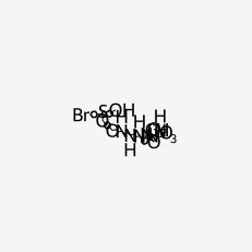 Cc1nc2c(NCCNCCNCCOc3ccc(Oc4c(-c5ccc(Br)cc5)sc5cc(O)ccc45)cc3)cccc2c(=O)n1C1CCC(=O)NC1=O